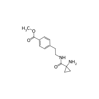 COC(=O)c1ccc(CCNC(=O)C2(N)CC2)cc1